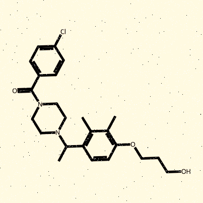 Cc1c(OCCCO)ccc(C(C)N2CCN(C(=O)c3ccc(Cl)cc3)CC2)c1C